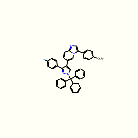 CSc1ccc(-c2cnc3ccc(-c4cn(C(c5ccccc5)(c5ccccc5)C5C=CC=CC5)nc4-c4ccc(F)cc4)cn23)cc1